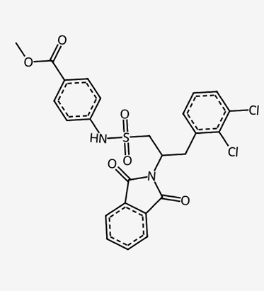 COC(=O)c1ccc(NS(=O)(=O)CC(Cc2cccc(Cl)c2Cl)N2C(=O)c3ccccc3C2=O)cc1